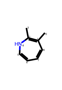 CC1=C(C)NC=CC=C1